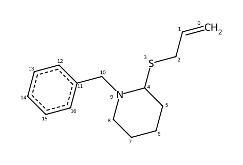 C=CCSC1CCCCN1Cc1ccccc1